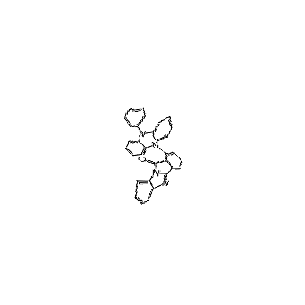 O=C1c2c(cccc2N2c3ccccc3N(c3ccccc3)c3ccccc32)-c2nc3ccccc3n21